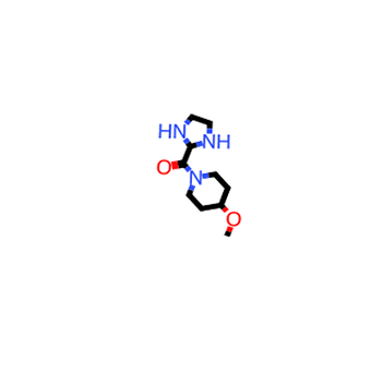 COC1CCN(C(=O)C2NCCN2)CC1